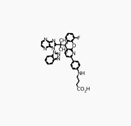 CC(C)(c1nc2nccnc2n1-n1nnc2ccccc21)[C@@H]1c2ccc(-c3ccc(NCCCC(=O)O)cc3)nc2Oc2c(F)cccc21